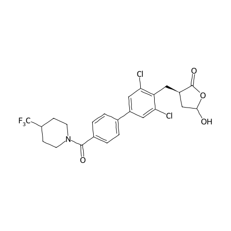 O=C1OC(O)C[C@H]1Cc1c(Cl)cc(-c2ccc(C(=O)N3CCC(C(F)(F)F)CC3)cc2)cc1Cl